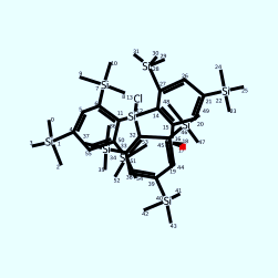 C[Si](C)(C)c1cc([Si](C)(C)C)c([Si](Cl)(c2c([Si](C)(C)C)cc([Si](C)(C)C)cc2[Si](C)(C)C)c2c([Si](C)(C)C)cc([Si](C)(C)C)cc2[Si](C)(C)C)c([Si](C)(C)C)c1